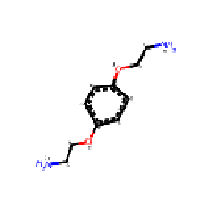 NCCOc1ccc(OCCN)cc1